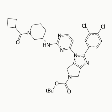 CC(C)(C)OC(=O)N1Cc2nc(-c3ccc(Cl)c(Cl)c3)n(-c3ccnc(N[C@H]4CCCN(C(=O)C5CCC5)C4)n3)c2C1